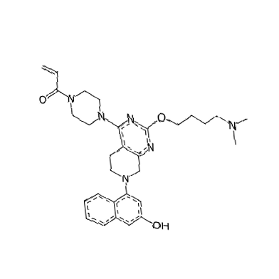 C=CC(=O)N1CCN(c2nc(OCCCCN(C)C)nc3c2CCN(c2cc(O)cc4ccccc24)C3)CC1